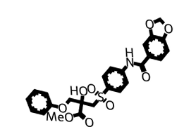 COC(=O)C(O)(COc1ccccc1)CS(=O)(=O)c1ccc(NC(=O)c2ccc3c(c2)OCO3)cc1